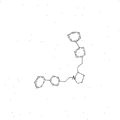 c1ccc(-c2ccc(CCC3CCCN3CCc3ccc(-c4ccccc4)cc3)cc2)cc1